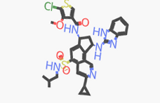 COc1c(C(=O)N[C@H]2C[C@H](Nc3nc4ccccc4[nH]3)c3c2cc(S(=O)(=O)NCC(C)C)c2cc(C4CC4)ncc32)csc1Cl